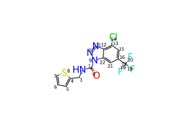 O=C(NCc1cccs1)n1nnc2c(Cl)cc(C(F)(F)F)cc21